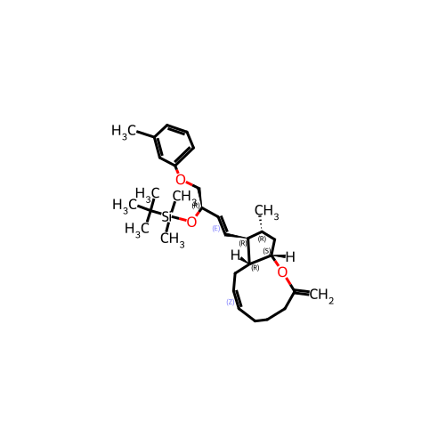 C=C1CCC/C=C\C[C@@H]2[C@@H](/C=C/[C@H](COc3cccc(C)c3)O[Si](C)(C)C(C)(C)C)[C@H](C)C[C@@H]2O1